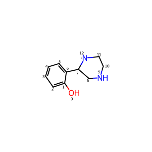 Oc1ccccc1C1CNCC[N]1